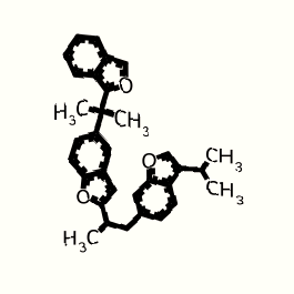 CC(C)c1coc2cc(CC(C)c3cc4cc(C(C)(C)c5occ6ccccc56)ccc4o3)ccc12